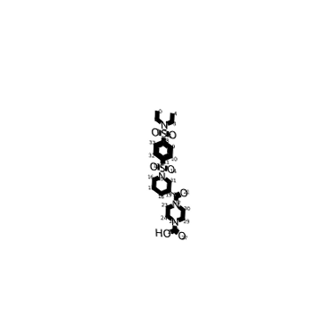 CCN(CC)S(=O)(=O)c1ccc(S(=O)(=O)N2CCC[C@@H](C(=O)N3CCN(C(=O)O)CC3)C2)cc1